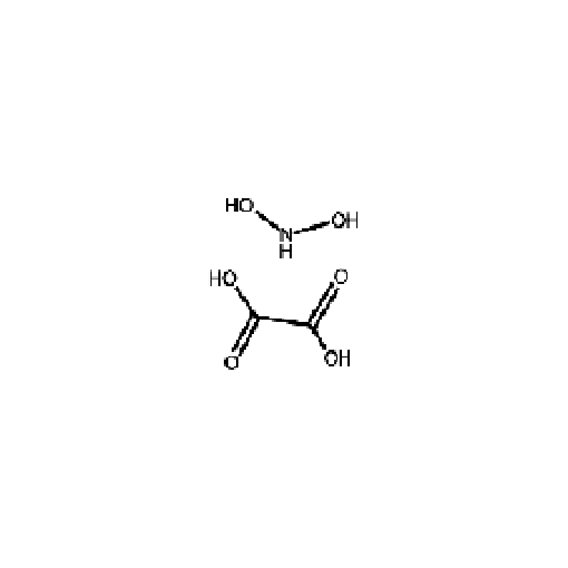 O=C(O)C(=O)O.ONO